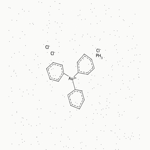 P.[Cl-].[Cl-].[Cl-].c1cc[c]([Au+3]([c]2ccccc2)[c]2ccccc2)cc1